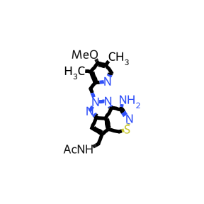 COc1c(C)cnc(Cn2nc3cc(CNC(C)=O)c4c-3c(n2)C(N)=NSC4)c1C